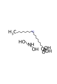 CCCCCCCC/C=C\CCCCCCCCOP(=O)(O)O.OCCNCCO